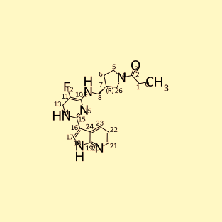 CCC(=O)N1CC[C@H](CNC2=C(F)CNC(c3c[nH]c4ncccc34)=N2)C1